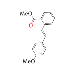 COC(=O)c1ccccc1C=Cc1ccc(OC)cc1